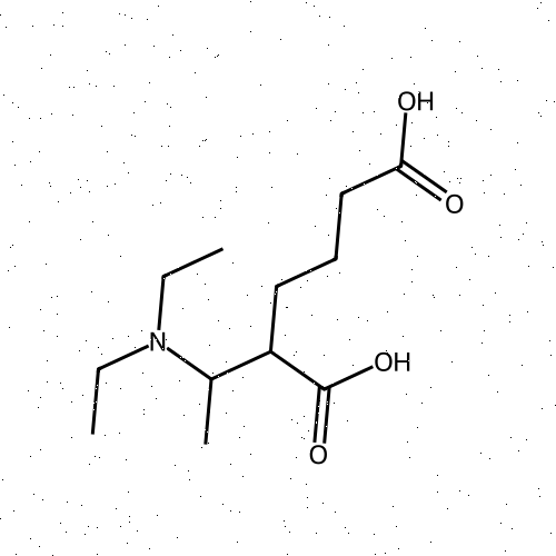 CCN(CC)C(C)C(CCCC(=O)O)C(=O)O